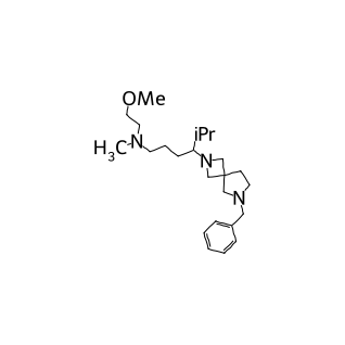 COCCN(C)CCCC(C(C)C)N1CC2(CCN(Cc3ccccc3)C2)C1